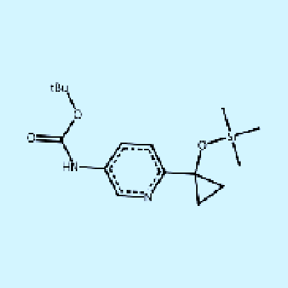 CC(C)(C)OC(=O)Nc1ccc(C2(O[Si](C)(C)C)CC2)nc1